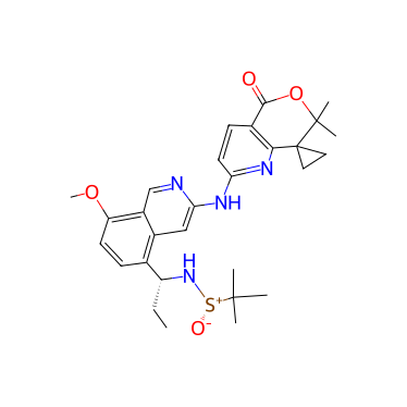 CC[C@@H](N[S@@+]([O-])C(C)(C)C)c1ccc(OC)c2cnc(Nc3ccc4c(n3)C3(CC3)C(C)(C)OC4=O)cc12